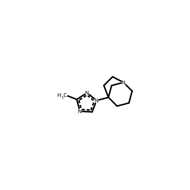 Cc1ncn(C23CCCN(CC2)C3)n1